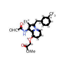 CCc1c(NC(=O)C=O)c2c(OCC(=O)OC)cccn2c1Cc1cccc(C(F)(F)F)c1